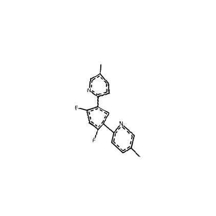 Cc1ccc(-c2cc(-c3ccc(C)cn3)c(F)cc2F)nc1